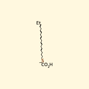 CCC=CCC=CCC=CCC=CCC=CCCCCSC(C)C(=O)O